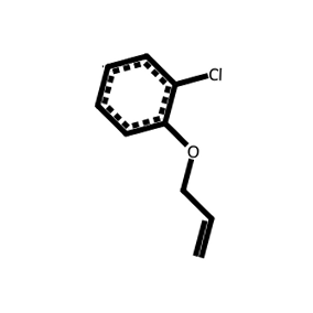 C=CCOc1cc[c]cc1Cl